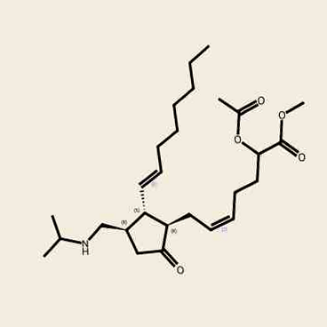 CCCCCC/C=C/[C@H]1[C@H](CNC(C)C)CC(=O)[C@@H]1C/C=C\CCC(OC(C)=O)C(=O)OC